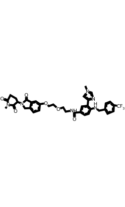 CN1C(=O)CCC(N2Cc3ccc(OCCOCCNC(=O)c4ccc(NCc5ccc(C(F)(F)F)cc5)c(-c5cn(C)cn5)c4)cc3C2=O)C1=O